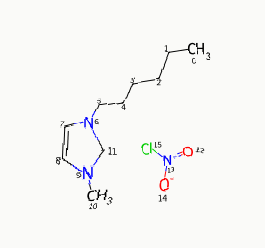 CCCCCCN1C=CN(C)C1.O=[N+]([O-])Cl